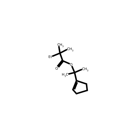 CCC(C)(C)C(=O)OC(C)(C)C1=CCCC1